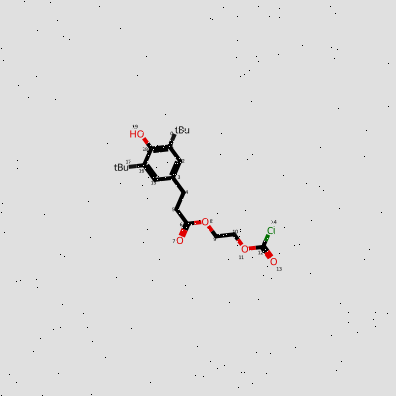 CC(C)(C)c1cc(CCC(=O)OCCOC(=O)Cl)cc(C(C)(C)C)c1O